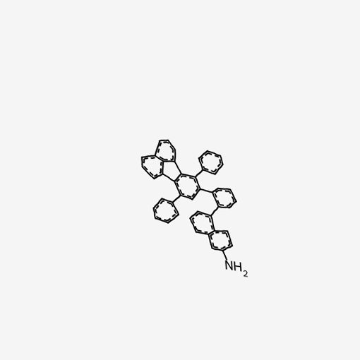 Nc1ccc2c(-c3ccccc3-c3cc(-c4ccccc4)c4c(c3-c3ccccc3)-c3cccc5cccc-4c35)cccc2c1